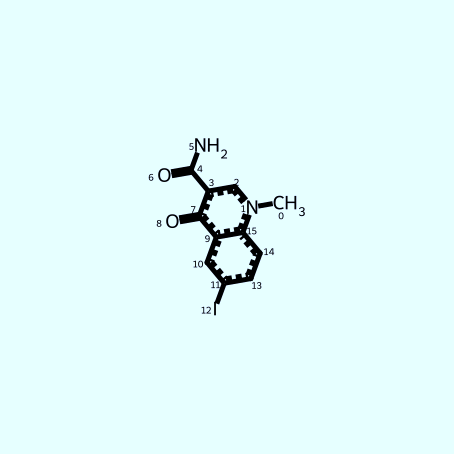 Cn1cc(C(N)=O)c(=O)c2cc(I)ccc21